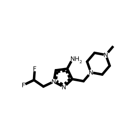 CN1CCN(Cc2nn(CC(F)F)cc2N)CC1